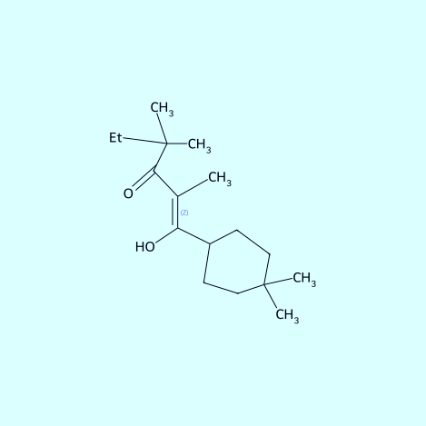 CCC(C)(C)C(=O)/C(C)=C(\O)C1CCC(C)(C)CC1